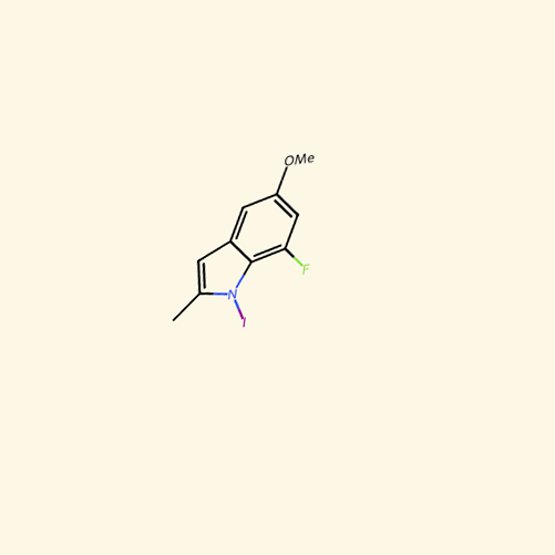 COc1cc(F)c2c(c1)cc(C)n2I